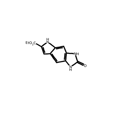 CCOC(=O)c1cc2cc3[nH]c(=O)[nH]c3cc2[nH]1